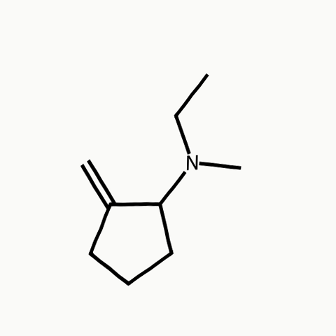 C=C1CCCC1N(C)CC